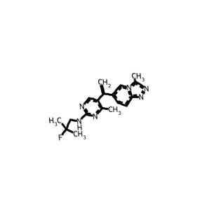 C=C(c1ccc2nnc(C)n2c1)c1cnc(NCC(C)(C)F)nc1C